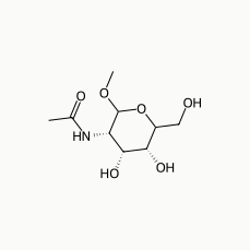 COC1OC(CO)[C@H](O)[C@H](O)[C@@H]1NC(C)=O